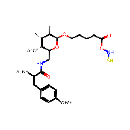 COc1ccc(CC(NC(C)=O)C(=O)NCC2OC(OCCCCC(=O)ONS)C(C)[C@@H](C)[C@H]2OC(C)=O)cc1